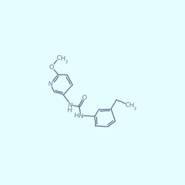 CCc1cccc(NC(=O)Nc2ccc(OC)nc2)c1